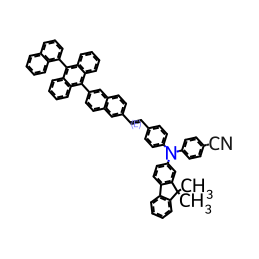 CC1(C)c2ccccc2-c2ccc(N(c3ccc(C#N)cc3)c3ccc(/C=C/c4ccc5cc(-c6c7ccccc7c(-c7cccc8ccccc78)c7ccccc67)ccc5c4)cc3)cc21